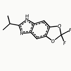 CC(C)c1nc2cc3c(cc2[nH]1)OC(F)(F)O3